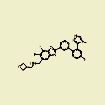 Cn1cnnc1-c1cc(F)ccc1-c1cccc(-c2nc3cc(CNCC4COC4)c(F)c(F)c3o2)c1